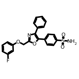 NS(=O)(=O)c1ccc(-c2oc(COc3cccc(F)c3)nc2-c2ccccc2)cc1